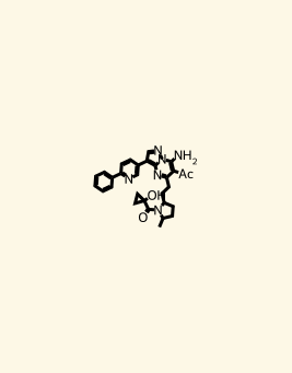 CC(=O)c1c(CCC2CCC(C)N2C(=O)C2(O)CC2)nc2c(-c3ccc(-c4ccccc4)nc3)cnn2c1N